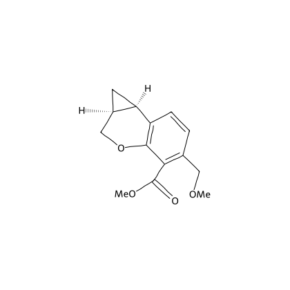 COCc1ccc2c(c1C(=O)OC)OC[C@H]1C[C@@H]21